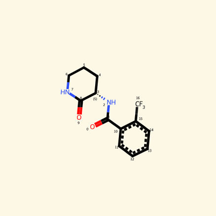 O=C(N[C@H]1CCCNC1=O)c1ccccc1C(F)(F)F